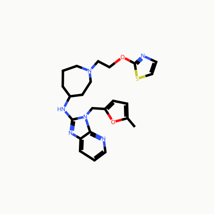 Cc1ccc(Cn2c(NC3CCCN(CCOc4nccs4)CC3)nc3cccnc32)o1